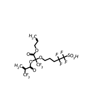 C=CCOC(=O)C(OCCCC(F)(F)C(F)(F)S(=O)(=O)O)(OC(=O)C(=C)C(F)(F)F)C(F)(F)F